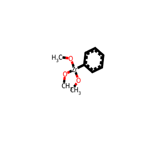 C[O][Zr]([O]C)([O]C)[c]1ccccc1